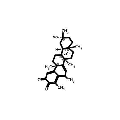 CC(=O)[C@]1(C)CC[C@]2(C)CC[C@]3(C)C4=CC(C)C5=C(C)C(=O)C(=O)C=C5[C@]4(C)CC[C@@]3(C)[C@@H]2C1